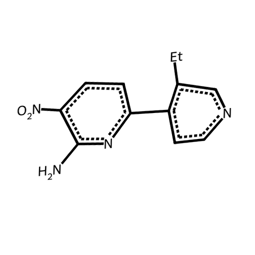 CCc1cnccc1-c1ccc([N+](=O)[O-])c(N)n1